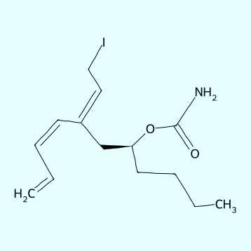 C=C/C=C\C(=C/CI)C[C@H](CCCC)OC(N)=O